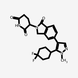 Cn1ncc(-c2ccc3c(c2)CN(C2CCC(=O)NC2=O)C3=O)c1C1CCC(F)(F)CC1